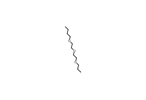 CCCCOCCOCCOCCI